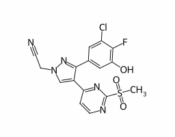 CS(=O)(=O)c1nccc(-c2cn(CC#N)nc2-c2cc(O)c(F)c(Cl)c2)n1